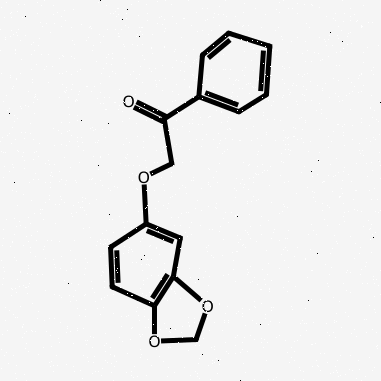 O=C(COc1ccc2c(c1)OCO2)c1ccccc1